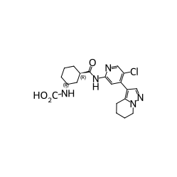 O=C(O)N[C@@H]1CCC[C@@H](C(=O)Nc2cc(-c3cnn4c3CCCC4)c(Cl)cn2)C1